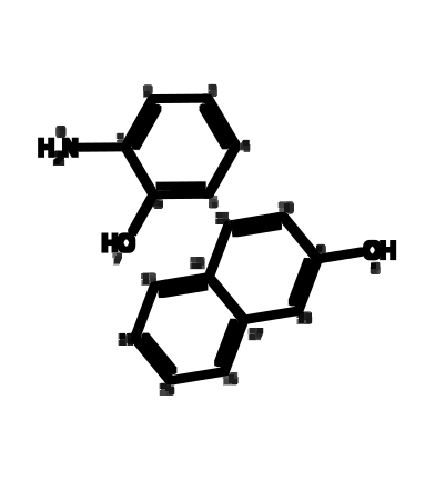 Nc1ccccc1O.Oc1ccc2ccccc2c1